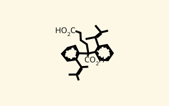 CC(C)=C(C)c1ccccc1C(CCCC(=O)O)(C(=O)O)c1ccccc1C(C)=C(C)C